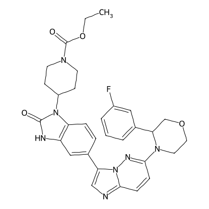 CCOC(=O)N1CCC(n2c(=O)[nH]c3cc(-c4cnc5ccc(N6CCOCC6c6cccc(F)c6)nn45)ccc32)CC1